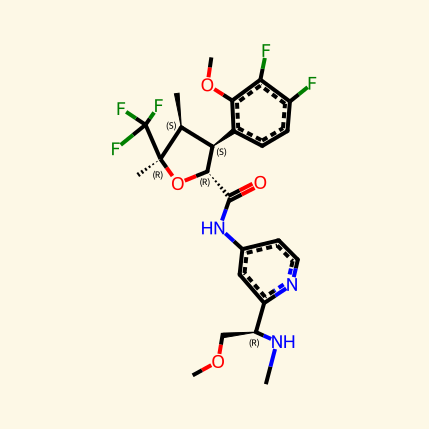 CN[C@@H](COC)c1cc(NC(=O)[C@@H]2O[C@@](C)(C(F)(F)F)[C@@H](C)[C@H]2c2ccc(F)c(F)c2OC)ccn1